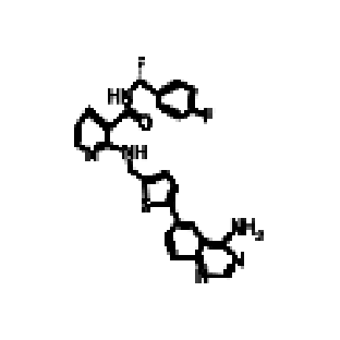 C[C@@H](NC(=O)c1cccnc1NCc1ccc(-c2ccc3ncnc(N)c3c2)s1)c1ccc(F)cc1